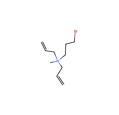 C=CC[N+](C)(CC=C)CCCBr